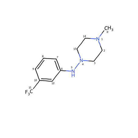 CN1CCN(Nc2cccc(C(F)(F)F)c2)CC1